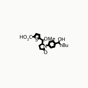 CCCCC(O)c1ccc(N2C(=O)CCC2[C@@H](OC)c2ccc(C(=O)O)s2)cc1